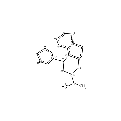 CN(C)N1Cc2ccc3ccccc3c2C(c2cccnc2)C1